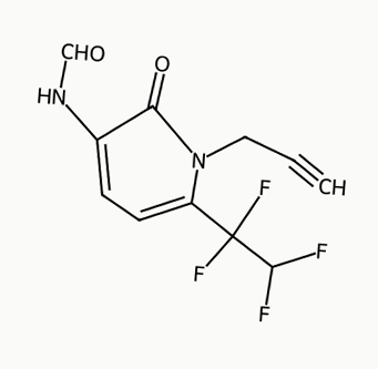 C#CCn1c(C(F)(F)C(F)F)ccc(NC=O)c1=O